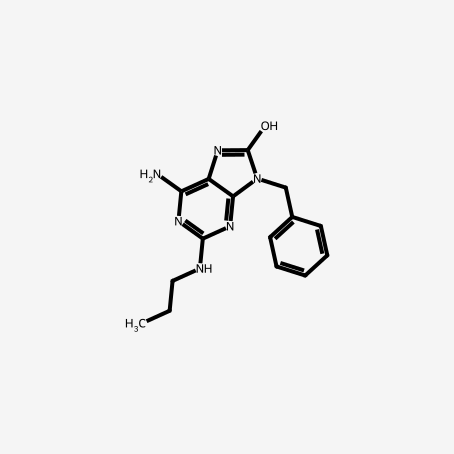 CCCNc1nc(N)c2nc(O)n(Cc3ccccc3)c2n1